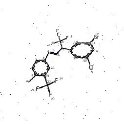 Cc1ccc(/C=C/C(c2cc(Cl)cc(Br)c2)C(F)(F)F)cc1C(F)(F)F